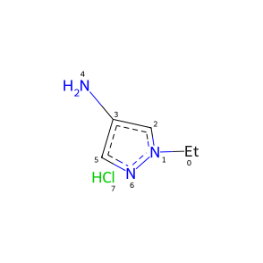 CCn1cc(N)cn1.Cl